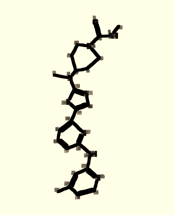 CNC(=O)N1CCC(N(C)c2ncc(-c3cccc(Nc4cc(C)ccn4)n3)s2)CC1